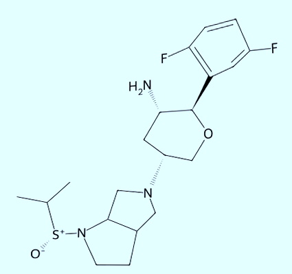 CC(C)[S@@+]([O-])N1CCC2CN([C@H]3CO[C@H](c4cc(F)ccc4F)[C@@H](N)C3)CC21